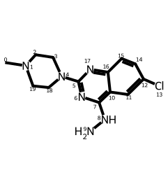 CN1CCN(c2nc(NN)c3cc(Cl)ccc3n2)CC1